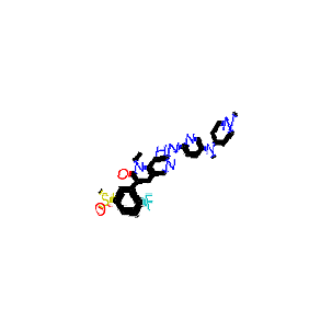 CCn1c(=O)c(-c2cc([S+](C)[O-])ccc2F)cc2cnc(Nc3ccc(N(C)C4CCN(C)CC4)cn3)cc21